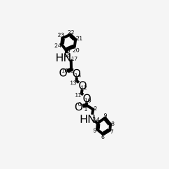 O=C(CNc1ccccc1)OCOCOC(=O)CNc1ccccc1